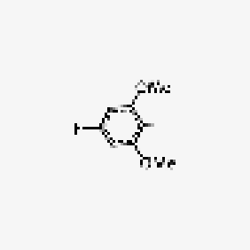 COc1cc(F)cc(OC)c1C